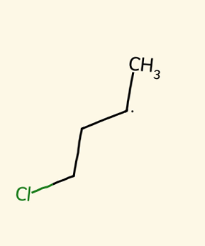 C[CH]CCCl